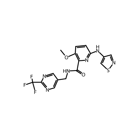 COc1ccc(Nc2cnsc2)nc1C(=O)NCc1cnc(C(F)(F)F)nc1